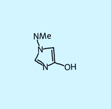 CNn1cnc(O)c1